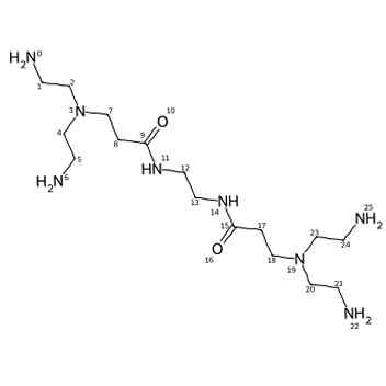 NCCN(CCN)CCC(=O)NCCNC(=O)CCN(CCN)CCN